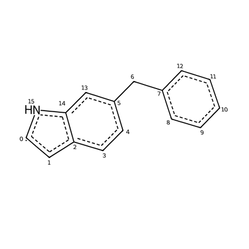 [c]1cc2ccc(Cc3ccccc3)cc2[nH]1